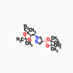 CC1(C)O[C@H](Cn2cc(B3OC(C)(C)C(C)(C)O3)cn2)C(C)(C)O1